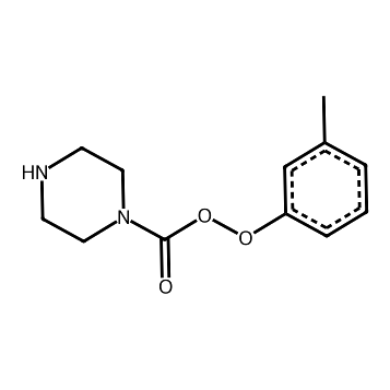 Cc1cccc(OOC(=O)N2CCNCC2)c1